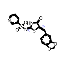 O=C1N/C(=N\S(=O)(=O)c2cccnc2)S/C1=C\c1ccc2c(c1)OCO2